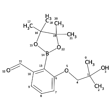 CC(C)(O)COc1cccc(C=O)c1B1OC(C)(C)C(C)(C)O1